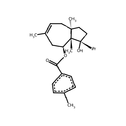 CC1=CC[C@@]2(C)CC[C@@](O)(C(C)C)[C@]2(C)[C@@H](OC(=O)c2ccc(C)cc2)C1